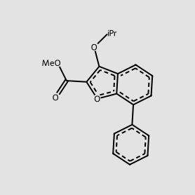 COC(=O)c1oc2c(-c3ccccc3)cccc2c1OC(C)C